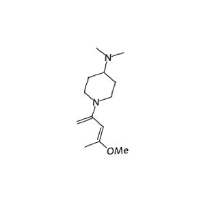 C=C(/C=C(\C)OC)N1CCC(N(C)C)CC1